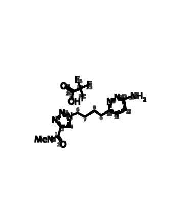 CNC(=O)c1cn(CCCCc2ccc(N)nn2)nn1.O=C(O)C(F)(F)F